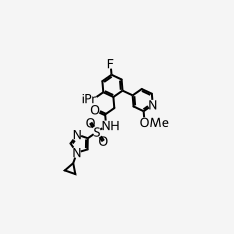 COc1cc(-c2cc(F)cc(C(C)C)c2CC(=O)NS(=O)(=O)c2cn(C3CC3)cn2)ccn1